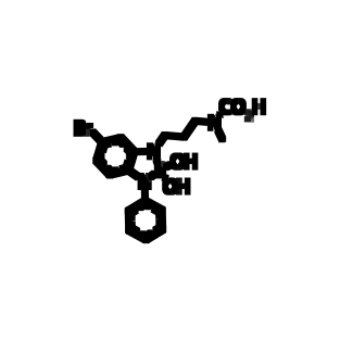 CN(CCCN1c2cc(Br)ccc2N(c2ccccc2)S1(O)O)C(=O)O